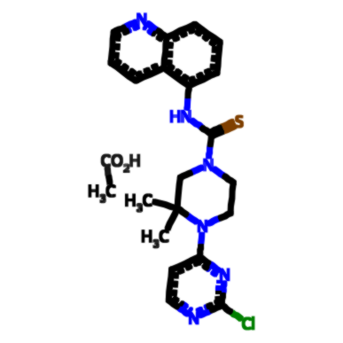 CC(=O)O.CC1(C)CN(C(=S)Nc2cccc3ncccc23)CCN1c1ccnc(Cl)n1